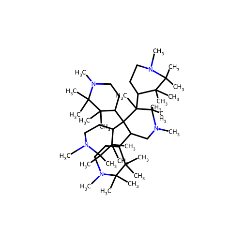 CN1CCC(C2CN(C)C(C)(C)C(C)(C3CCN(C)C(C)(C)C3(C)C)C2(C2CCN(C)C(C)(C)C2(C)C)C2CCN(C)C(C)(C)C2(C)C)C(C)(C)C1(C)C